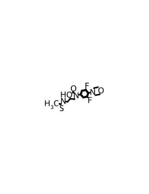 CC(=S)NCC1CN(c2cc(F)c(N3CCOCC3)c(F)c2)C(=O)O1